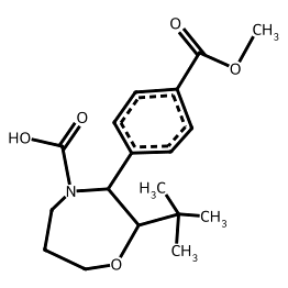 COC(=O)c1ccc(C2C(C(C)(C)C)OCCCN2C(=O)O)cc1